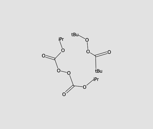 CC(C)(C)OOC(=O)C(C)(C)C.CC(C)OC(=O)OOC(=O)OC(C)C